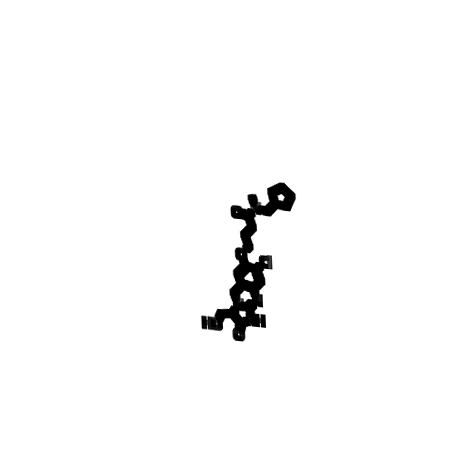 CN(CC1CCCC1)C(=O)CCCOc1cc2c(cc1Cl)N=C1NC(=O)C(CO)N1C2